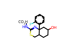 O=C(O)NC1=NC2(c3ccccc3F)CC(O)CCC2CS1